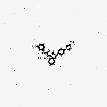 Cc1cn(-c2ccc(N3CC4(CCCCC4)N(C(OC=O)C(=O)Nc4cccc(C(F)(F)F)c4)C3=O)cc2)cn1